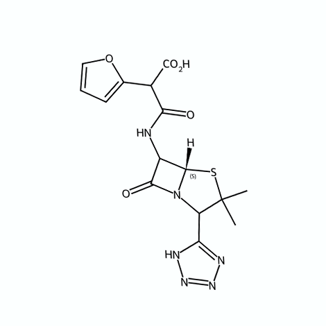 CC1(C)S[C@H]2C(NC(=O)C(C(=O)O)c3ccco3)C(=O)N2C1c1nnn[nH]1